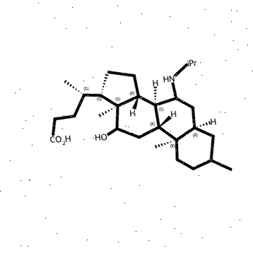 CC1CC[C@]2(C)[C@H](C1)CC(NC(C)C)[C@H]1[C@H]2CC(O)[C@]2(C)[C@@H]1CC[C@H]2[C@@H](C)CCC(=O)O